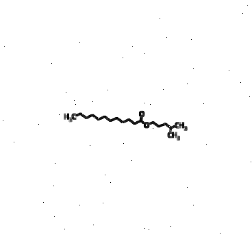 CCCCCCCCCCCC(=O)OCCCC(C)C